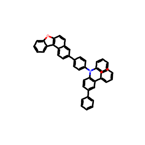 c1ccc(-c2ccc(N(c3ccccc3)c3ccc(-c4ccc5c(ccc6oc7ccccc7c65)c4)cc3)c(-c3ccccc3)c2)cc1